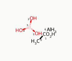 CC(=O)O.OB(O)O.[AlH3]